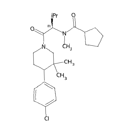 CC(C)[C@H](C(=O)N1CCC(c2ccc(Cl)cc2)C(C)(C)C1)N(C)C(=O)C1CCCC1